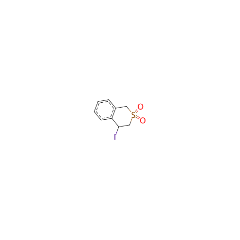 O=S1(=O)Cc2ccccc2C(I)C1